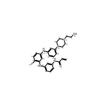 C=CC(=O)Nc1cccc(Nc2cc(Nc3cccc(N4CCN(CCO)CC4)c3)ccc2F)c1